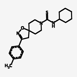 Cc1ccc(C2=NOC3(CCN(C(=S)NC4CCCCC4)CC3)C2)cc1